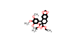 CCOC(=O)C1(C(=O)OCC)CCc2cc3c(cc2C1c1cc(OC)c(OC)c(OC)c1)OCO3